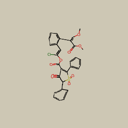 COC=C(C(=O)OC)c1ccccc1C=C(Cl)OC(=O)C1=C(c2ccccc2)S(=O)(=O)C(c2ccccc2)C1=O